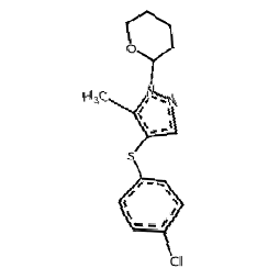 Cc1c(Sc2ccc(Cl)cc2)cnn1C1CCCCO1